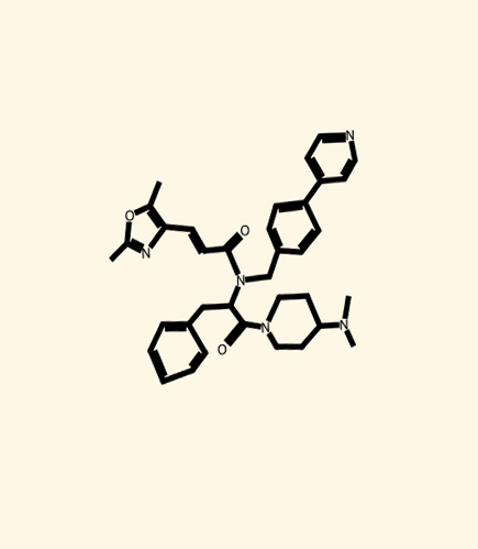 Cc1nc(C=CC(=O)N(Cc2ccc(-c3ccncc3)cc2)C(Cc2ccccc2)C(=O)N2CCC(N(C)C)CC2)c(C)o1